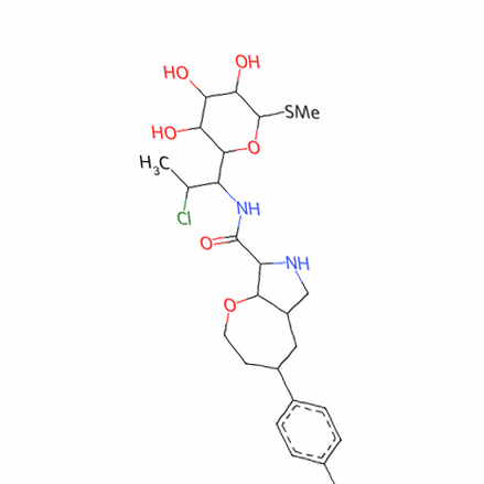 CSC1OC(C(NC(=O)C2NCC3CC(c4ccc(C#N)cc4)CCOC32)C(C)Cl)C(O)C(O)C1O